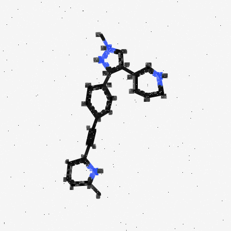 Cc1cccc(C#Cc2ccc(-c3nn(C)cc3-c3cccnc3)cc2)n1